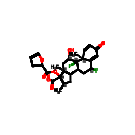 C[C@@H]1CC2C3C[C@H](F)C4=CC(=O)C=C[C@]4(C)[C@@]3(F)[C@@H](O)C[C@]2(C)[C@@]1(OC(=O)c1ccco1)C(=O)O